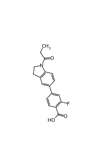 CCC(=O)N1CCc2cc(-c3ccc(C(=O)O)c(F)c3)ccc21